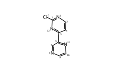 Clc1nccc(-c2cnccn2)n1